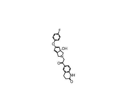 O=C1CCc2cc(C(=O)CN3CC4=CC(Oc5ccc(F)cc5)=C[C@@]4(O)C3)ccc2N1